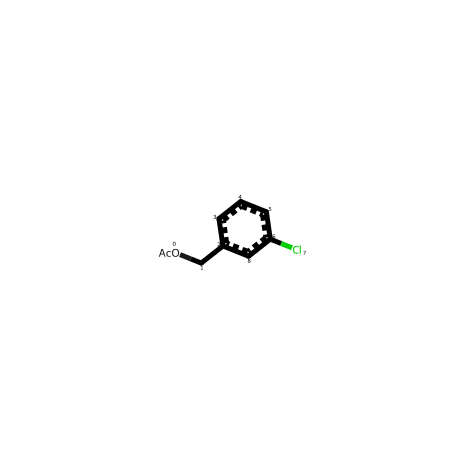 CC(=O)OCc1c[c]cc(Cl)c1